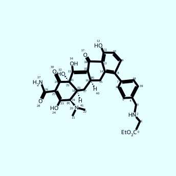 CCOC(=O)CNCc1ccc(-c2ccc(O)c3c2C[C@H]2C[C@H]4[C@@H](N(C)C)C(O)=C(C(N)=O)C(=O)[C@@]4(O)C(O)=C2C3=O)cc1